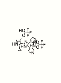 Cc1n[nH]c(C2CC2)c1-c1nc2c([nH]1)-c1ccncc1Nc1ncccc1-2.O=C(O)C(F)(F)F.O=C(O)C(F)(F)F